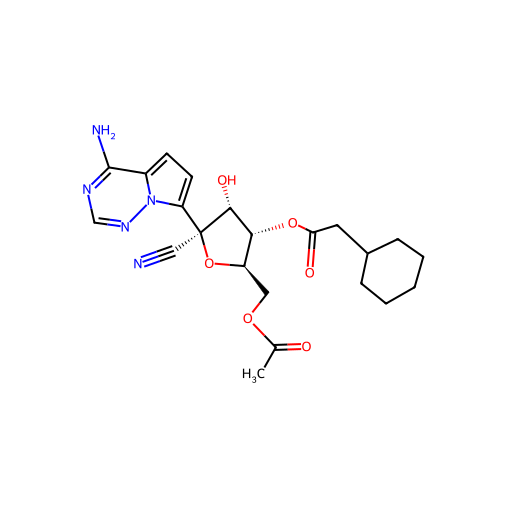 CC(=O)OC[C@H]1O[C@@](C#N)(c2ccc3c(N)ncnn23)[C@H](O)[C@@H]1OC(=O)CC1CCCCC1